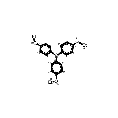 CCOc1cc[c]([In]([c]2ccc(OCC)cc2)[c]2ccc(OCC)cc2)cc1